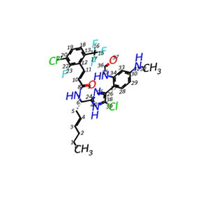 CCC/C=C/C[C@H](NC(=O)/C=C/c1c(C(F)(F)F)ccc(Cl)c1F)c1nc(-c2ccc(NC)cc2NC=O)c(Cl)[nH]1